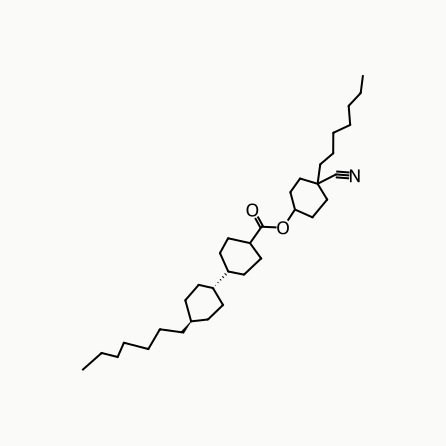 CCCCCCCC1(C#N)CCC(OC(=O)C2CCC([C@H]3CC[C@H](CCCCCCC)CC3)CC2)CC1